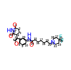 O=C1CCC(c2coc3ccc(NC(=O)CCCCCCN4CCC(F)(F)CC4)cc23)C(=O)N1